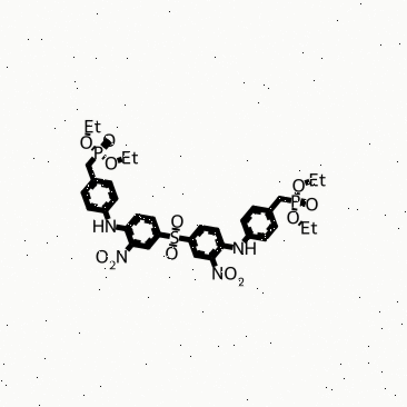 CCOP(=O)(Cc1ccc(Nc2ccc(S(=O)(=O)c3ccc(Nc4ccc(CP(=O)(OCC)OCC)cc4)c([N+](=O)[O-])c3)cc2[N+](=O)[O-])cc1)OCC